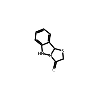 O=C1CSC2c3ccccc3NN12